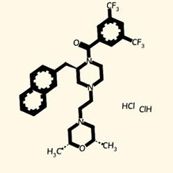 C[C@@H]1CN(CCN2CCN(C(=O)c3cc(C(F)(F)F)cc(C(F)(F)F)c3)[C@H](Cc3ccc4ccccc4c3)C2)C[C@H](C)O1.Cl.Cl